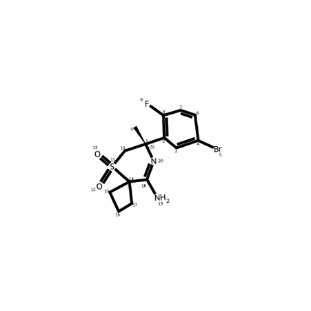 C[C@]1(c2cc(Br)ccc2F)CS(=O)(=O)C2(CCC2)C(N)=N1